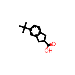 CC(C)(C)c1ccc2c(c1)CC(C(=O)O)C2